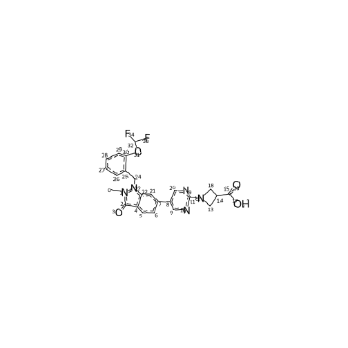 Cn1c(=O)c2ccc(-c3cnc(N4CC(C(=O)O)C4)nc3)cc2n1Cc1ccccc1OC(F)F